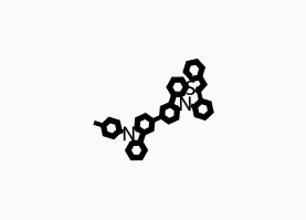 Cc1ccc(-n2c3ccccc3c3cc(-c4ccc5c(c4)c4ccccc4n5-c4ccccc4-c4cc5ccccc5s4)ccc32)cc1